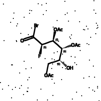 CC(=O)OC[C@@H](O)[C@@H](OC(C)=O)[C@H](OC(C)=O)[C@@H](F)C(=O)Br